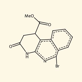 COC(=O)C1CC(=O)Nc2nc(Br)c3ccccc3c21